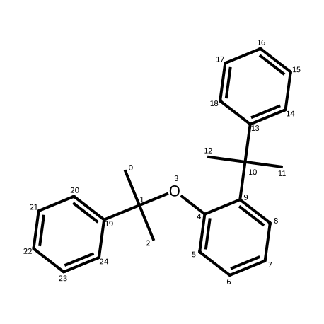 CC(C)(Oc1ccccc1C(C)(C)c1ccccc1)c1ccccc1